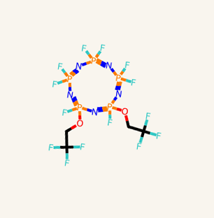 FC(F)(F)COP1(F)=NP(F)(F)=NP(F)(F)=NP(F)(F)=NP(F)(OCC(F)(F)F)=N1